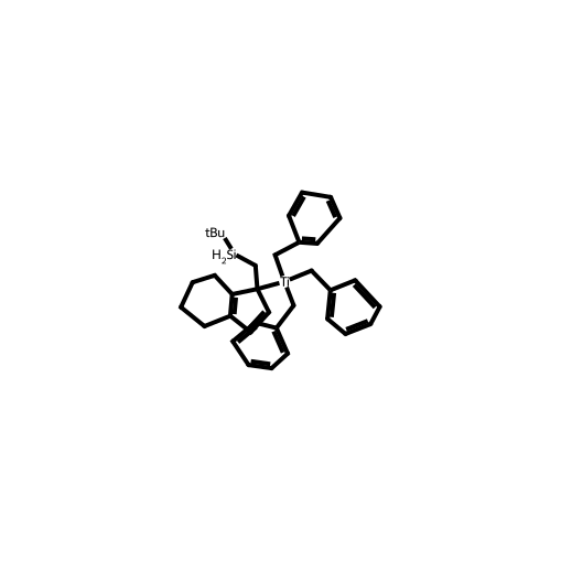 CC(C)(C)[SiH2]C[C]1([Ti]([CH2]c2ccccc2)([CH2]c2ccccc2)[CH2]c2ccccc2)C=CC2=C1CCCC2